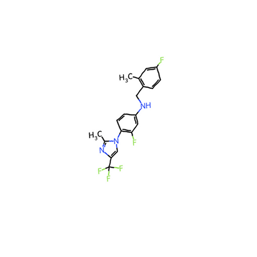 Cc1cc(F)ccc1CNc1ccc(-n2cc(C(F)(F)F)nc2C)c(F)c1